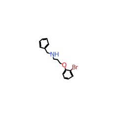 Brc1ccccc1OCCCNCc1ccccc1